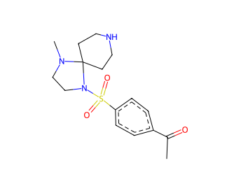 CC(=O)c1ccc(S(=O)(=O)N2CCN(C)C23CCNCC3)cc1